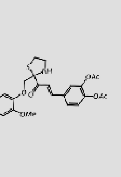 COc1ccccc1OCC1(C(=O)C=Cc2ccc(OC(C)=O)c(OC(C)=O)c2)NCCS1